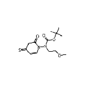 COCCN(C(=O)OC(C)(C)C)N1C=CC(=S)CC1=O